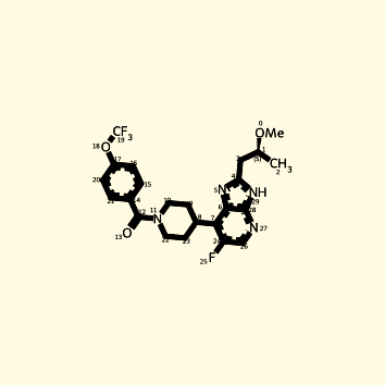 CO[C@@H](C)Cc1nc2c(C3CCN(C(=O)c4ccc(OC(F)(F)F)cc4)CC3)c(F)cnc2[nH]1